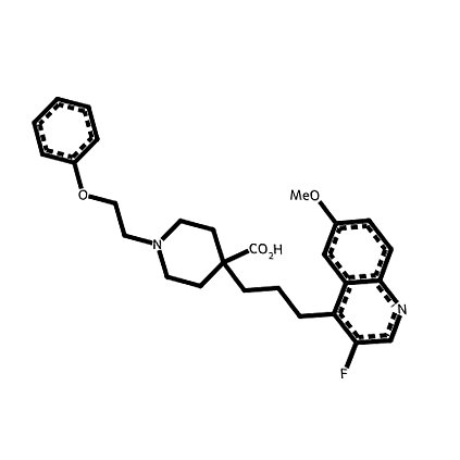 COc1ccc2ncc(F)c(CCCC3(C(=O)O)CCN(CCOc4ccccc4)CC3)c2c1